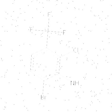 Nc1c(Br)ccc(C(F)(F)F)c1Cl